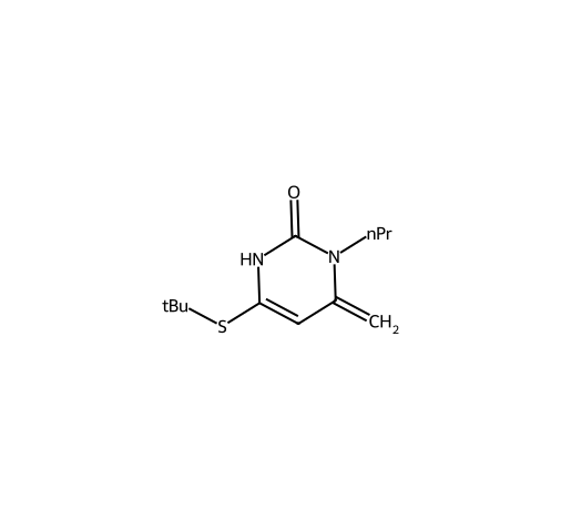 C=C1C=C(SC(C)(C)C)NC(=O)N1CCC